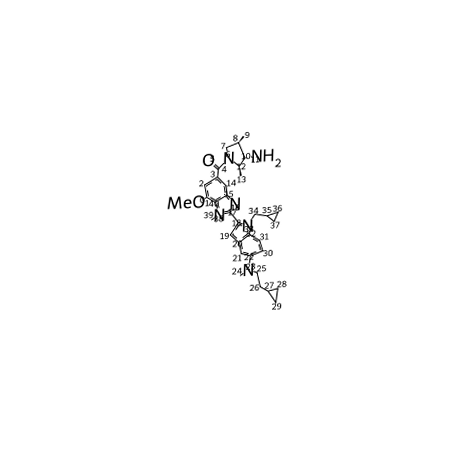 COc1cc(C(=O)N2C[C@@H](C)[C@H](N)[C@H]2C)cc2nc(-c3cc4cc(N(C)CCC5CC5)ccc4n3CC3CC3)n(C)c12